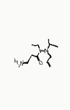 C=CCN(C(C)C)N(CC)C(=O)CCN